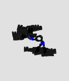 CO[Si](CCCN(CCC[Si](OC)(OC)OC)CC1CCCC(CN(CCC[Si](OC)(OC)OC)CCC[Si](OC)(OC)OC)C1)(OC)OC